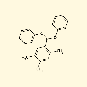 Cc1cc(C)c(P(Oc2ccccc2)Oc2ccccc2)cc1C